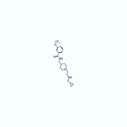 O=C(NCC1CCN(CCNSC2CC2)CC1)c1cccc(OC(F)(F)F)c1